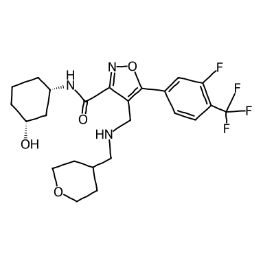 O=C(N[C@H]1CCC[C@@H](O)C1)c1noc(-c2ccc(C(F)(F)F)c(F)c2)c1CNCC1CCOCC1